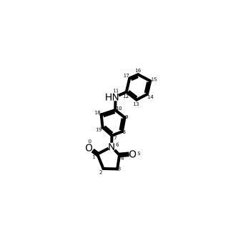 O=C1CCC(=O)N1c1ccc(Nc2ccccc2)cc1